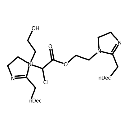 CCCCCCCCCCCC1=NCCN1CCOC(=O)C(Cl)[N+]1(CCO)CCN=C1CCCCCCCCCCC